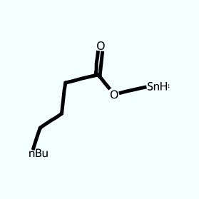 CCCCCCCC(=O)[O][SnH]